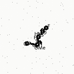 COc1cc2nccc(Oc3ccc(NC(=S)N4CCN(c5ccc(F)cc5)C4=O)cc3F)c2cc1OCCCN1CCOCC1